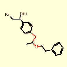 CC(OCCc1ccccc1)Oc1ccc(C(CC(C)(C)C)C(C)(C)C)cc1